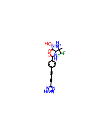 CC(N)(C(F)F)C(NC(=O)c1ccc(C#CC#Cc2nn[nH]n2)cc1)C(=O)NO